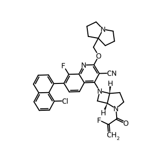 C=C(F)C(=O)N1CC[C@@H]2[C@H]1CN2c1c(C#N)c(OCC23CCCN2CCC3)nc2c(F)c(-c3cccc4cccc(Cl)c34)ccc12